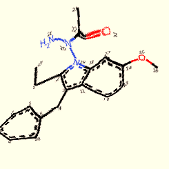 CCc1c(Cc2ccccc2)c2ccc(OC)cc2n1N(N)C(C)=O